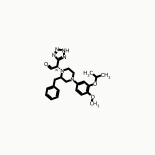 COc1ccc(N2CCN([C@H](C=O)c3nn[nH]n3)C(Cc3ccccc3)C2)cc1OC(C)C